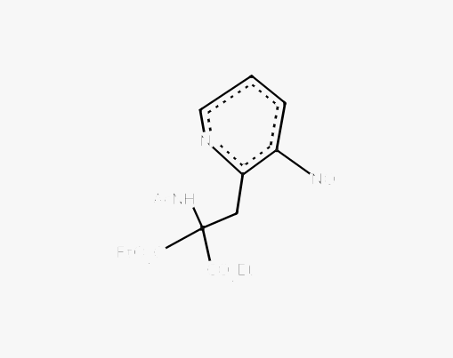 CCOC(=O)C(Cc1ncccc1N=O)(NC(C)=O)C(=O)OCC